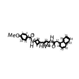 COc1ccc(C(=O)NC2CC(c3cc(NC(=O)Cc4cccc5ccccc45)n[nH]3)C2)cc1